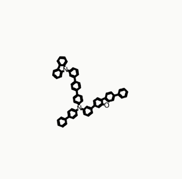 c1ccc(-c2ccc(N(c3ccc(-c4ccc(-c5cccc(-n6c7ccccc7c7ccccc76)c5)cc4)cc3)c3cccc(-c4ccc5c(c4)oc4cc(-c6ccccc6)ccc45)c3)cc2)cc1